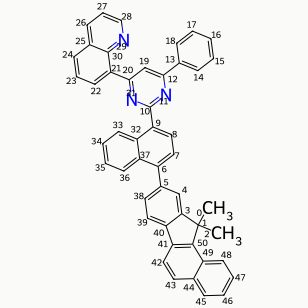 CC1(C)c2cc(-c3ccc(-c4nc(-c5ccccc5)cc(-c5cccc6cccnc56)n4)c4ccccc34)ccc2-c2ccc3ccccc3c21